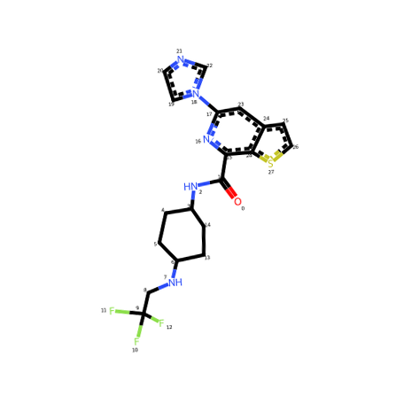 O=C(NC1CCC(NCC(F)(F)F)CC1)c1nc(-n2ccnc2)cc2ccsc12